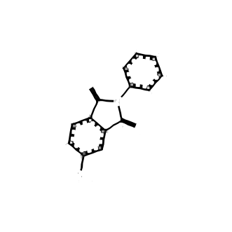 O=C1c2ccc([N+](=O)[O-])cc2C(=O)N1c1cc[c]cc1